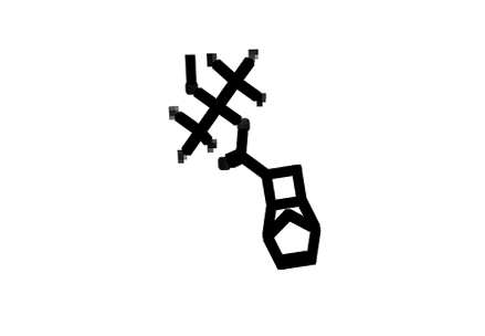 COC(OC(=O)C1CC2C3C=CC(C3)C12)(C(F)(F)F)C(F)(F)F